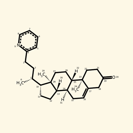 C[C@H](CCc1ccccn1)[C@H]1CC[C@H]2[C@@H]3CC=C4CC(=O)CC[C@]4(C)[C@H]3CC[C@]12C